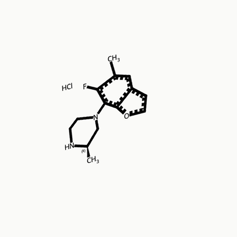 Cc1cc2ccoc2c(N2CCN[C@H](C)C2)c1F.Cl